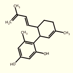 C=C(C)C=CC1CCC(C)=CC1c1c(C)cc(O)cc1O